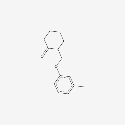 Cc1cccc(OCC2CCCCC2=O)c1